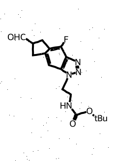 CC(C)(C)OC(=O)NCCn1nnc2c(F)c3c(cc21)CC(C=O)C3